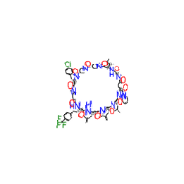 CC[C@H](C)[C@@H]1NC(=O)[C@H](C)N(C)C(=O)C[C@@H](C(=O)N2CCCC2)NC(=O)[C@H](CC(C)C)N(C)C(=O)[C@H](CC(C)C)N(C)C(=O)[C@H](CC(C)C)NC(=O)[C@H](CCc2ccc(C(F)(F)F)cc2)NC(=O)CN(C)C(=O)[C@H](Cc2ccc(Cl)cc2)N(C)C(=O)CN(C)C(=O)CN(C)C1=O